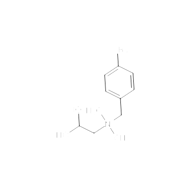 CCC(C)c1ccc(C[N+](C)(C)CC(O)O)cc1